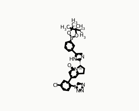 CC1(C)OB(c2cccc(-c3cnc([C@@H]4CCc5cc(-c6cc(Cl)ccc6-n6cnnn6)cc(=O)n54)[nH]3)c2)OC1(C)C